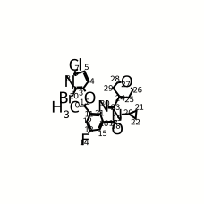 CC(Oc1ccc(Cl)nc1Br)c1cc(F)cc2c(=O)n(C3CC3)c(C3CCOCC3)nc12